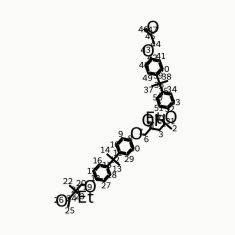 CCC(C)(CC(O)COc1ccc(C(C)(C)c2ccc(OCC(C)(CC)C3CO3)cc2)cc1)Oc1ccc(C(C)(C)c2ccc(OCC3CO3)cc2)cc1